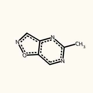 Cc1ncc2oncc2n1